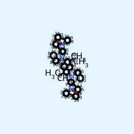 CC(C)c1cc(N(c2ccc3c(c2)c2ccccc2n3-c2ccccc2-c2ccccc2)c2cccc3c2CCCC3)c2ccc3c(C(C)C)cc(N(c4ccc5c(c4)c4ccccc4n5-c4ccccc4-c4ccccc4)c4cccc5c4CCCC5)c4ccc1c2c34